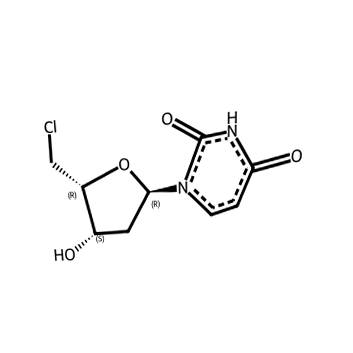 O=c1ccn([C@H]2C[C@H](O)[C@H](CCl)O2)c(=O)[nH]1